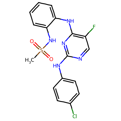 CS(=O)(=O)Nc1ccccc1Nc1nc(Nc2ccc(Cl)cc2)ncc1F